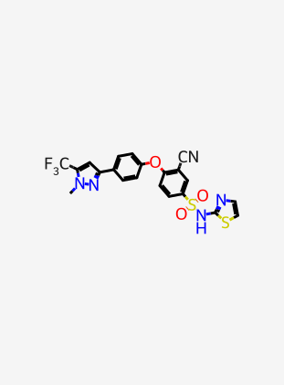 Cn1nc(-c2ccc(Oc3ccc(S(=O)(=O)Nc4nccs4)cc3C#N)cc2)cc1C(F)(F)F